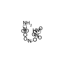 NC1CCN(S(=O)(=O)c2ccc(OC3CN(Cc4ccc5c(c4)C(=O)N(C4CCC(=O)NC4=O)C5=O)C3)cc2)CC1